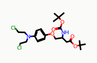 CC(C)(C)OC(=O)CC(COc1ccc(N(CCCl)CCCl)cc1)NC(=O)OC(C)(C)C